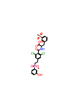 COP(=O)(CCc1cc(Cl)c(C(=O)NC(Cc2cccc(S(C)(=O)=O)c2)C(=O)O)c(Cl)c1)c1cccc(O)c1